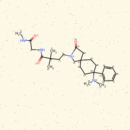 CNC(=O)CNC(=O)C(C)(C)CCN1CC2(CCC(c3ccccc3)(N(C)C)CC2)CC1=O